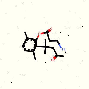 CC(=O)CC(C)(C)c1c(C)ccc(C)c1OC(=O)CCN